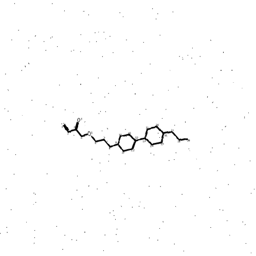 C=CC(=O)COCCCC1CCC(C2CCC(CCC)CC2)CC1